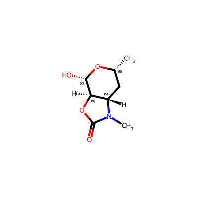 C[C@@H]1C[C@H]2[C@@H](OC(=O)N2C)[C@H](O)O1